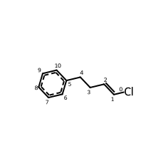 Cl/C=C/CCc1ccccc1